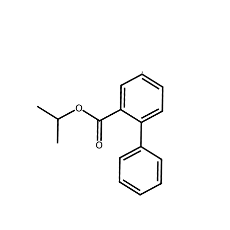 CC(C)OC(=O)c1c[c]ccc1-c1ccccc1